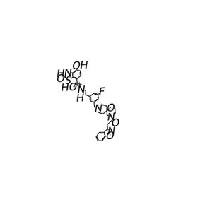 O=C(Cc1noc2ccccc12)N1CCOC2(CCN(Cc3cc(F)cc(CCNC[C@H](O)c4ccc(O)c5[nH]c(=O)sc45)c3)CC2)C1